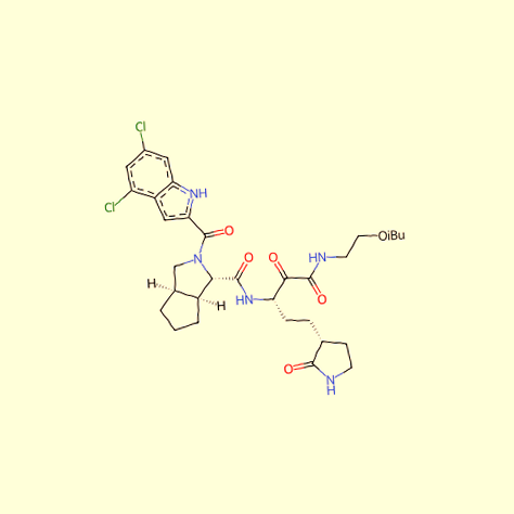 CC(C)COCCNC(=O)C(=O)[C@H](CC[C@@H]1CCNC1=O)NC(=O)[C@@H]1[C@H]2CCC[C@H]2CN1C(=O)c1cc2c(Cl)cc(Cl)cc2[nH]1